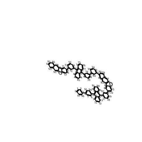 c1ccc(-c2ccc(-c3c4ccccc4c(-c4cccc(-c5ccc6oc7cc8ccc(-c9cccc(-c%10cccc(-c%11c%12ccccc%12c(-c%12cccc(-c%13ccc%14oc%15cc%16ccccc%16cc%15c%14c%13)c%12)c%12ccccc%11%12)c%10)c9)cc8cc7c6c5)c4)c4ccccc34)cc2)cc1